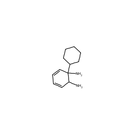 NC1C=CC=CC1(N)C1CCCCC1